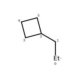 C[CH]CC1CCC1